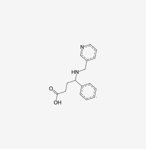 O=C(O)CCC(NCc1cccnc1)c1cc[c]cc1